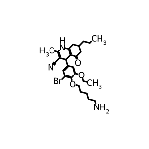 CCCC1CC(=O)C2=C(C1)NC(C)=C(C#N)C2c1cc(Br)c(OCCCCCN)c(OCC)c1